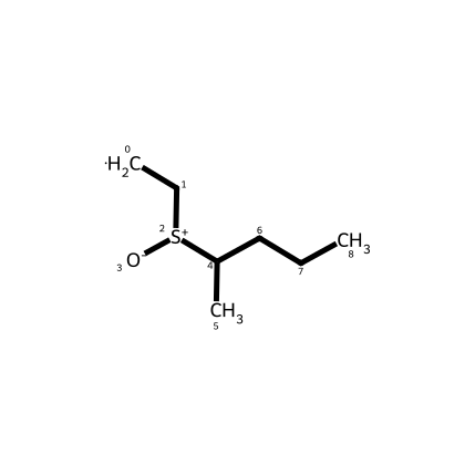 [CH2]C[S+]([O-])C(C)CCC